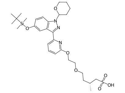 C[C@H](CCOCCOc1cccc(-c2nn(C3CCCCO3)c3ccc(O[Si](C)(C)C(C)(C)C)cc23)n1)CS(=O)(=O)O